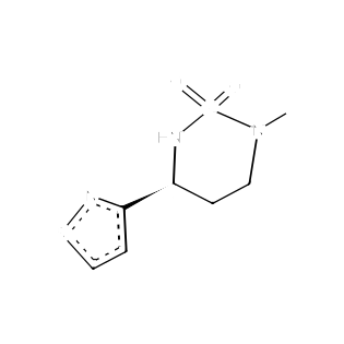 CN1CC[C@@H](c2ccsn2)NS1(=O)=O